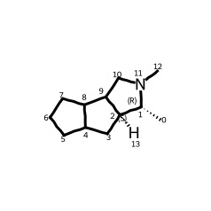 C[C@@H]1[C@H]2CC3CCCC3C2CN1C